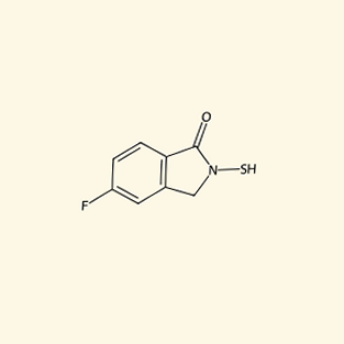 O=C1c2ccc(F)cc2CN1S